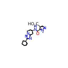 Cn1ncc(C(=O)O)c1C(=O)Nc1ccn2nc(-c3ccccc3)nc2c1